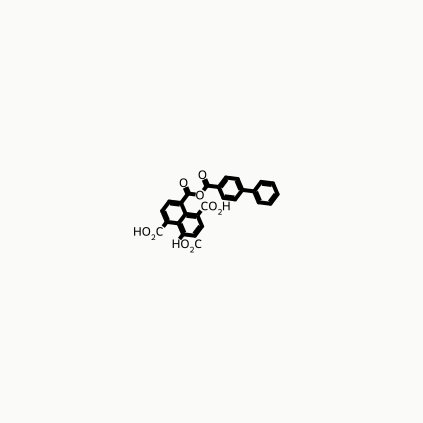 O=C(OC(=O)c1ccc(C(=O)O)c2c(C(=O)O)ccc(C(=O)O)c12)c1ccc(-c2ccccc2)cc1